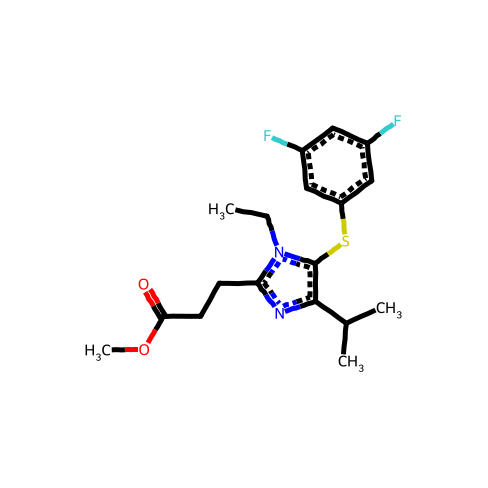 CCn1c(CCC(=O)OC)nc(C(C)C)c1Sc1cc(F)cc(F)c1